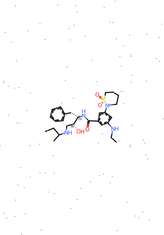 CCNc1cc(C(=O)N[C@@H](Cc2ccccc2)[C@H](O)CNC(C)CC)cc(N2CCCCS2(=O)=O)c1